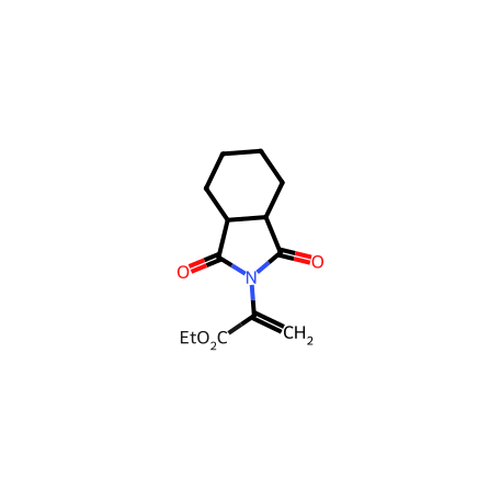 C=C(C(=O)OCC)N1C(=O)C2CCCCC2C1=O